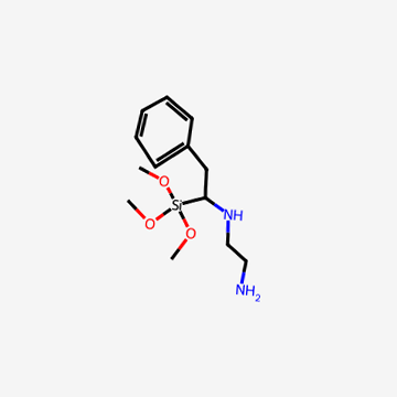 CO[Si](OC)(OC)C(Cc1ccccc1)NCCN